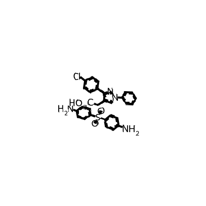 Nc1ccc(S(=O)(=O)c2ccc(N)cc2)cc1.O=C(O)Cc1cn(-c2ccccc2)nc1-c1ccc(Cl)cc1